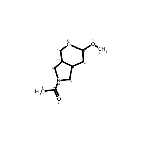 COC1CC2CN(C(C)=O)CC2CO1